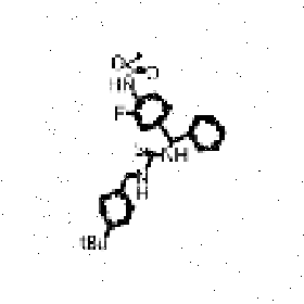 CC(C)(C)c1ccc(CNC(=S)NC(c2ccccc2)c2ccc(NS(C)(=O)=O)c(F)c2)cc1